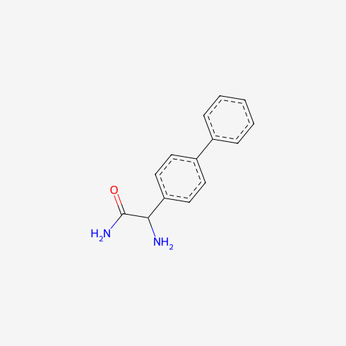 NC(=O)C(N)c1ccc(-c2ccccc2)cc1